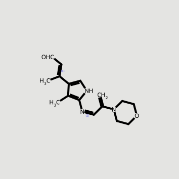 C=C(/C=N\c1[nH]cc(/C(C)=C/C=O)c1C)N1CCOCC1